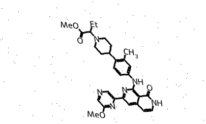 CCC(C(=O)OC)N1CCC(c2ccc(Nc3nc(-c4cncc(OC)n4)cc4cc[nH]c(=O)c34)cc2C)CC1